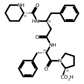 O=C(C[C@H](Cc1ccccc1)NC(=O)[C@@H]1CCCCN1)N[C@@H](Cc1ccccc1)C(=O)N1CCC[C@H]1C(=O)O